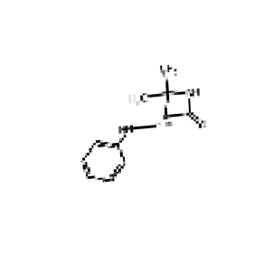 CC1(C)NC(=O)[C@@H]1CNc1ccccc1